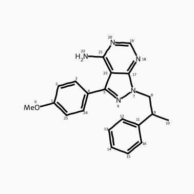 COc1ccc(-c2nn(CC(C)c3ccccc3)c3ncnc(N)c23)cc1